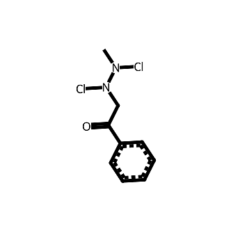 CN(Cl)N(Cl)CC(=O)c1ccccc1